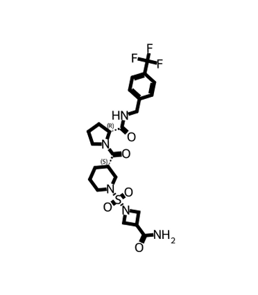 NC(=O)C1CN(S(=O)(=O)N2CCC[C@H](C(=O)N3CCC[C@@H]3C(=O)NCc3ccc(C(F)(F)F)cc3)C2)C1